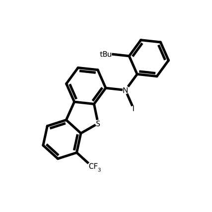 CC(C)(C)c1ccccc1N(I)c1cccc2c1sc1c(C(F)(F)F)cccc12